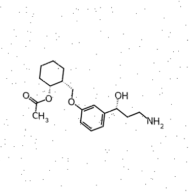 CC(=O)O[C@@H]1CCCC[C@@H]1COc1cccc([C@H](O)CCN)c1